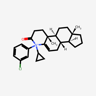 C[C@@]12CCC[C@H]1[C@@H]1CC=C3[C@](C)(CCC(=O)[N+]3(c3cccc(Cl)c3)C3CC3)[C@H]1CC2